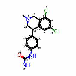 CN1Cc2c(Cl)cc(Cl)cc2C(c2ccc(NC([NH])=O)cc2)C1